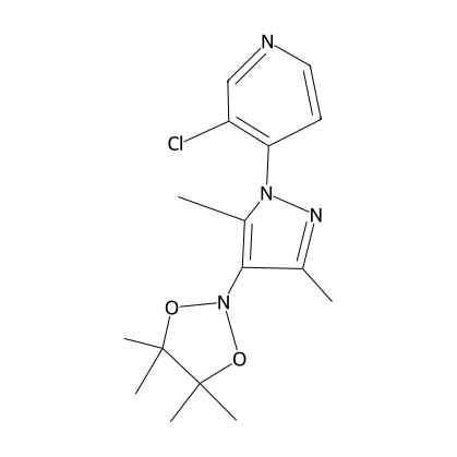 Cc1nn(-c2ccncc2Cl)c(C)c1N1OC(C)(C)C(C)(C)O1